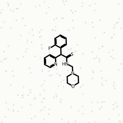 Fc1ccccc1C(C(=S)NCN1CCOCC1)c1ccccn1